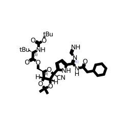 CC(C)(C)OC(=O)N[C@H](C(=O)OC[C@H]1O[C@@](C#N)(c2ccc(/C(=N\C=N)NC(=O)CC3CCCCC3)[nH]2)[C@@H]2OC(C)(C)O[C@@H]21)C(C)(C)C